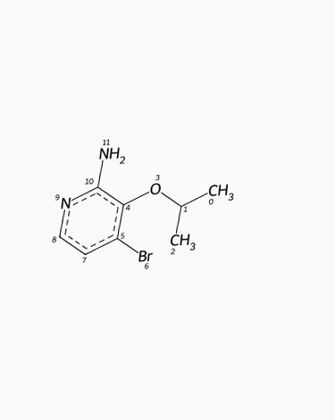 CC(C)Oc1c(Br)ccnc1N